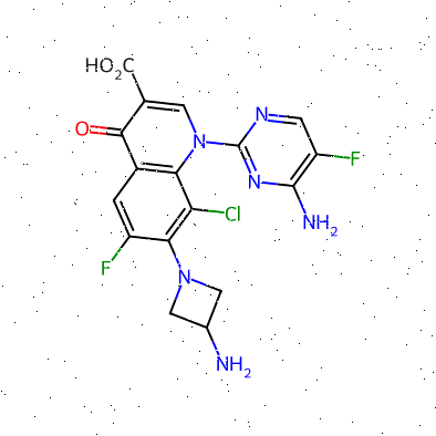 Nc1nc(-n2cc(C(=O)O)c(=O)c3cc(F)c(N4CC(N)C4)c(Cl)c32)ncc1F